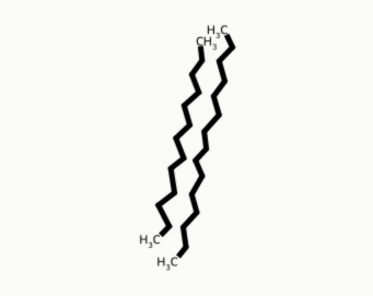 CCCCCCCCCCCCC.CCCCCCCCCCCCCCC